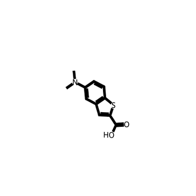 CN(C)c1ccc2sc(C(=O)O)cc2c1